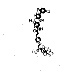 Cc1nnc(-c2cc(Cl)ccc2F)cc1Nc1ccnc(NC(=O)CCN2CCN(CCN(C)C(=O)OC(C)(C)C)CC2)c1